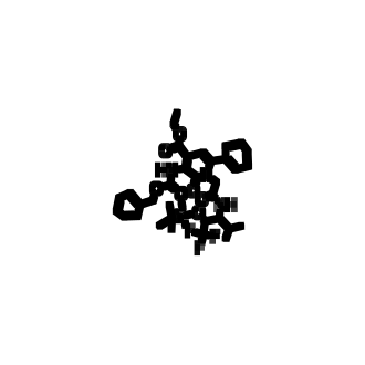 CCOC(=O)c1cc(-c2ccccc2)n(CC(=O)NC(C(C)C)C(O[Si](C)(C)C(C)(C)C)C(F)(F)F)c(=O)c1NC(=O)OCc1ccccc1